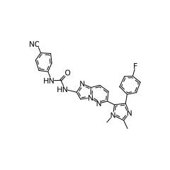 Cc1nc(-c2ccc(F)cc2)c(-c2ccc3nc(NC(=O)Nc4ccc(C#N)cc4)cn3n2)n1C